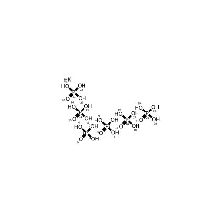 O=P(O)(O)O.O=P(O)(O)O.O=P(O)(O)O.O=P(O)(O)O.O=P(O)(O)O.O=P(O)(O)O.[K]